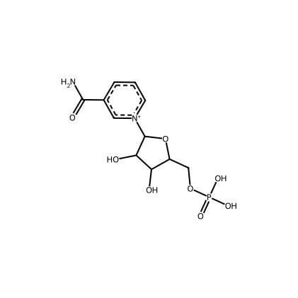 NC(=O)c1ccc[n+](C2OC(COP(=O)(O)O)C(O)C2O)c1